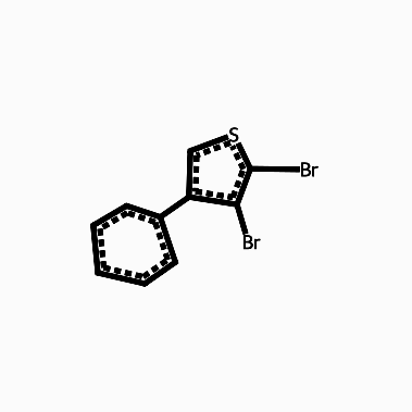 Brc1scc(-c2ccccc2)c1Br